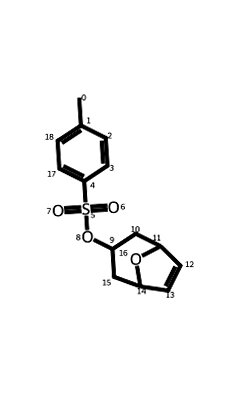 Cc1ccc(S(=O)(=O)OC2CC3C=CC(C2)O3)cc1